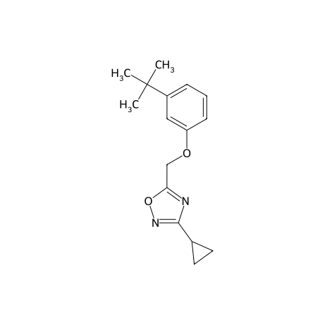 CC(C)(C)c1cccc(OCc2nc(C3CC3)no2)c1